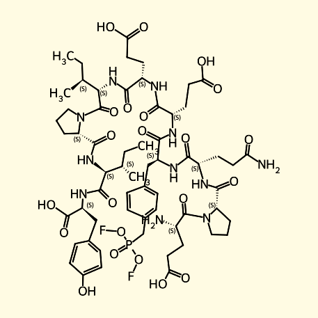 CC[C@H](C)[C@H](NC(=O)[C@@H]1CCCN1C(=O)[C@@H](NC(=O)[C@H](CCC(=O)O)NC(=O)[C@H](CCC(=O)O)NC(=O)[C@H](Cc1ccc(CP(=O)(OF)OF)cc1)NC(=O)[C@H](CCC(N)=O)NC(=O)[C@@H]1CCCN1C(=O)[C@@H](N)CCC(=O)O)[C@@H](C)CC)C(=O)N[C@@H](Cc1ccc(O)cc1)C(=O)O